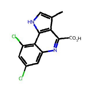 Cc1c[nH]c2c1c(C(=O)O)nc1cc(Cl)cc(Cl)c12